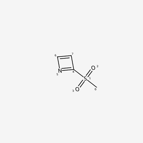 CS(=O)(=O)C1=NC=C1